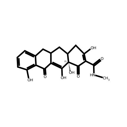 CNC(=O)C1=C(O)CC2CC3Cc4cccc(O)c4C(=O)C3=C(O)[C@]2(O)C1=O